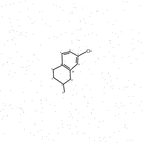 CC1CCc2ccc(Cl)cc2C1